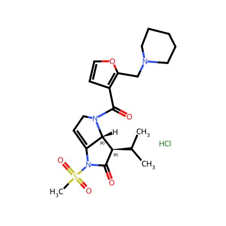 CC(C)[C@H]1C(=O)N(S(C)(=O)=O)C2=CCN(C(=O)c3ccoc3CN3CCCCC3)[C@@H]21.Cl